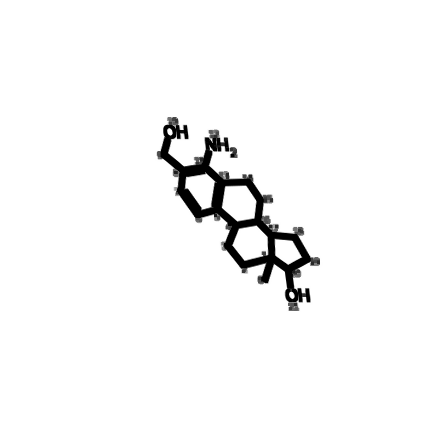 CC12CCC3c4ccc(CO)c(N)c4CCC3C1CCC2O